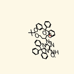 CONc1nc(C(c2ccccc2)(c2ccccc2)c2ccccc2)nc2c1ncn2C(CCOC(=O)C(C)(C)C)C(OC)OC(c1ccccc1)(c1ccccc1)c1ccccc1